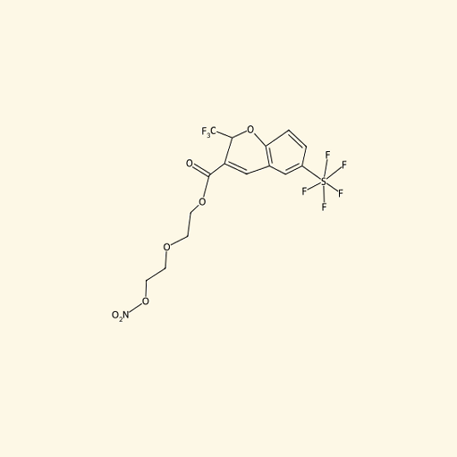 O=C(OCCOCCO[N+](=O)[O-])C1=Cc2cc(S(F)(F)(F)(F)F)ccc2OC1C(F)(F)F